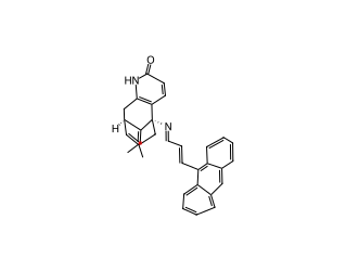 C/C=C1\[C@H]2C=C(C)C[C@]1(/N=C/C=C/c1c3ccccc3cc3ccccc13)c1ccc(=O)[nH]c1C2